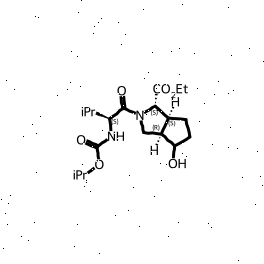 CCOC(=O)[C@@H]1[C@H]2CCC(O)[C@H]2CN1C(=O)[C@@H](NC(=O)OC(C)C)C(C)C